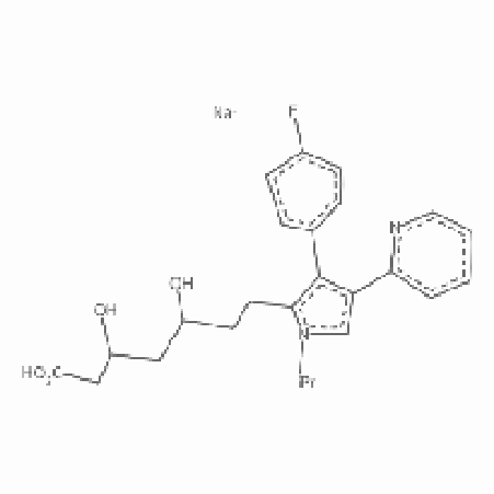 CC(C)n1cc(-c2ccccn2)c(-c2ccc(F)cc2)c1CCC(O)CC(O)CC(=O)O.[Na]